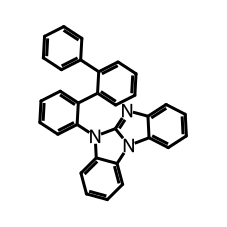 c1ccc(-c2ccccc2-c2ccccc2-n2c3ccccc3n3c4ccccc4nc23)cc1